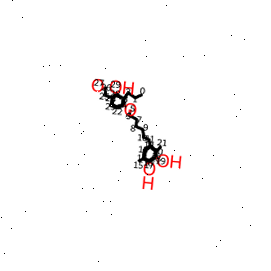 CCCc1c(OCCCCCCc2cc(C)c(O)c(O)c2C)ccc(CC=O)c1O